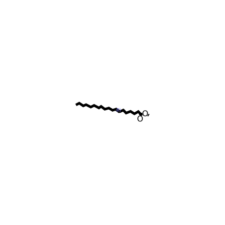 CCCCCCCCCCC/C=C/CCCCCC(=O)OC